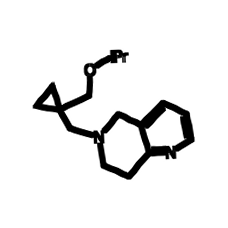 CC(C)OCC1(CN2CCc3ncccc3C2)CC1